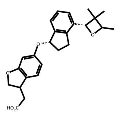 CC1O[C@H](c2cccc3c2CC[C@@H]3Oc2ccc3c(c2)OCC3CC(=O)O)C1(C)C